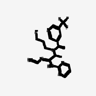 CC(/C(=N/C=N)Nc1ncccn1)N(CCCF)C(=O)c1cncc(C(F)(F)F)c1